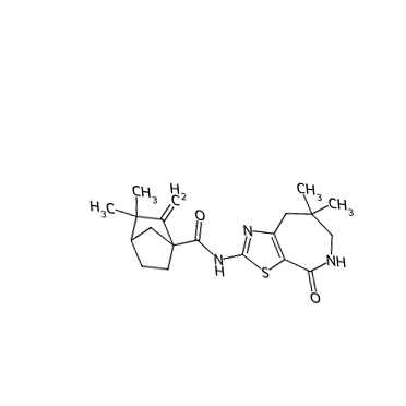 C=C1C2(C(=O)Nc3nc4c(s3)C(=O)NCC(C)(C)C4)CCC(C2)C1(C)C